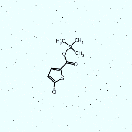 C[Si](C)(C)OC(=O)c1ccc(Cl)s1